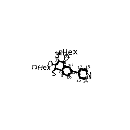 CCCCCCOC1=C(OCCCCCC)C(=S)c2ccc(-c3ccncc3)cc2C1=O